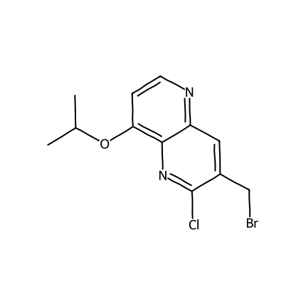 CC(C)Oc1ccnc2cc(CBr)c(Cl)nc12